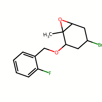 CC12OC1CC(Br)CC2OCc1ccccc1F